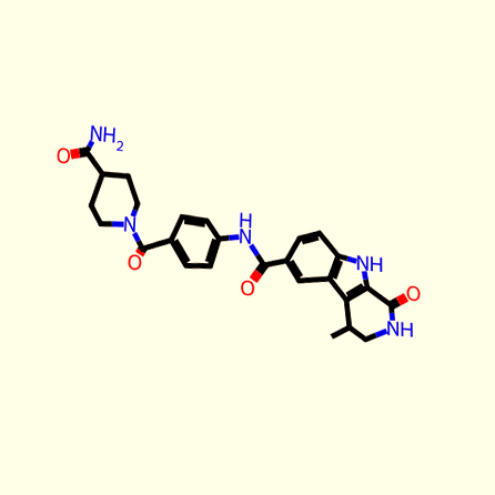 CC1CNC(=O)c2[nH]c3ccc(C(=O)Nc4ccc(C(=O)N5CCC(C(N)=O)CC5)cc4)cc3c21